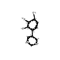 Fc1ccc(-c2cncnc2)c(F)c1F